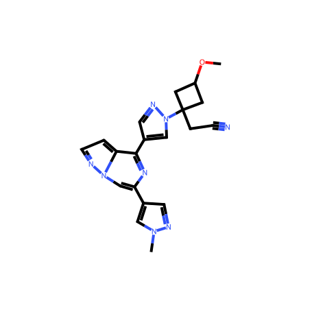 COC1CC(CC#N)(n2cc(-c3nc(-c4cnn(C)c4)cn4nccc34)cn2)C1